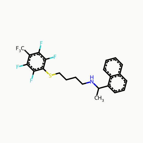 CC(NCCCCSc1c(F)c(F)c(C(F)(F)F)c(F)c1F)c1cccc2ccccc12